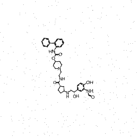 O=CNc1cc([C@H](O)CN[C@H]2CC[C@@H](C(=O)NCCN3CCC(OC(=O)Nc4ccccc4-c4ccccc4)CC3)C2)ccc1O